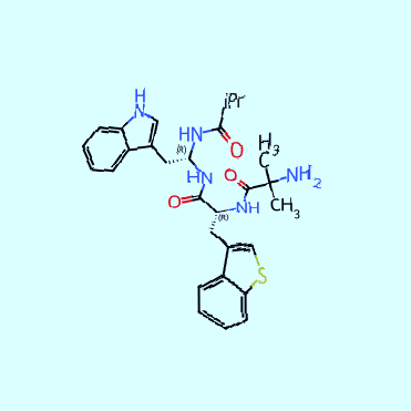 CC(C)C(=O)N[C@@H](Cc1c[nH]c2ccccc12)NC(=O)[C@@H](Cc1csc2ccccc12)NC(=O)C(C)(C)N